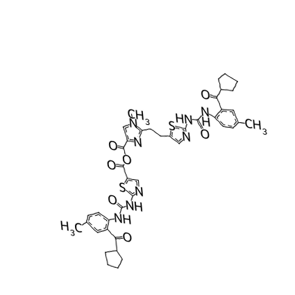 Cc1ccc(NC(=O)Nc2ncc(CCc3nc(C(=O)OC(=O)c4cnc(NC(=O)Nc5ccc(C)cc5C(=O)C5CCCC5)s4)cn3C)s2)c(C(=O)C2CCCC2)c1